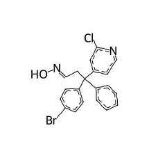 ON=CCC(c1ccccc1)(c1ccc(Br)cc1)c1ccnc(Cl)c1